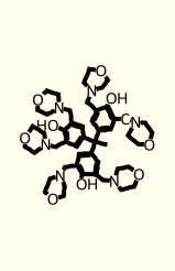 CC(c1cc(CN2CCOCC2)c(O)c(CN2CCOCC2)c1)(c1cc(CN2CCOCC2)c(O)c(CN2CCOCC2)c1)c1cc(CN2CCOCC2)c(O)c(CN2CCOCC2)c1